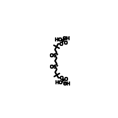 CC(C)(CC[S+]([O-])CCC[S+]([O-])CCC(C)(C)COP(=O)(O)O)COP(=O)(O)O